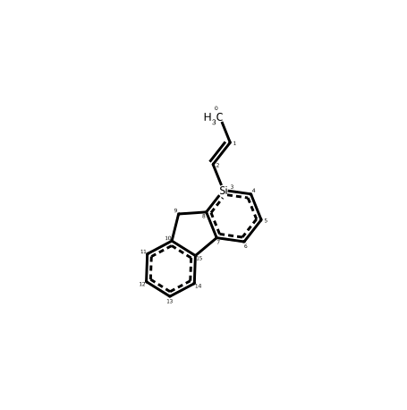 CC=C[si]1cccc2c1Cc1ccccc1-2